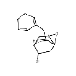 C=C(CC1=CCCC=C1)C12CC(O)CCN1O2